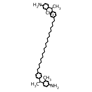 Cc1cc(N)ccc1C(C)c1ccc(CCCCCCCCCCCCCCCCCCCCc2ccc(C(C)c3ccc(N)cc3C)cc2)cc1